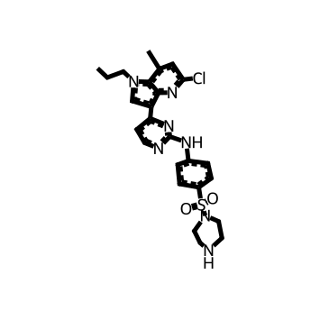 CCCn1cc(-c2ccnc(Nc3ccc(S(=O)(=O)N4CCNCC4)cc3)n2)c2nc(Cl)cc(C)c21